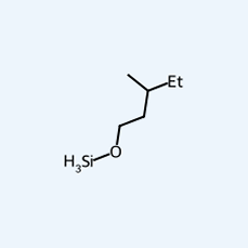 CCC(C)CCO[SiH3]